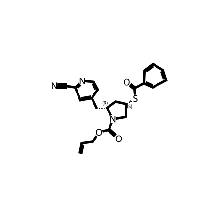 C=CCOC(=O)N1C[C@@H](SC(=O)c2ccccc2)C[C@H]1Cc1ccnc(C#N)c1